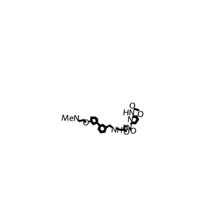 CNCCOc1cccc(-c2cccc(CNCCC3CN(c4ccc5c(n4)NC(=O)CO5)C(=O)O3)c2)c1